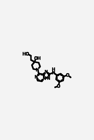 COc1cc(Nc2nc3c(N4CCC(O)(CCO)CC4)nccn3n2)cc(OC)c1